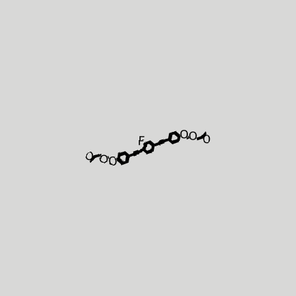 Fc1cc(C#Cc2ccc(OCOCC3CO3)cc2)ccc1C#Cc1ccc(OCOCC2CO2)cc1